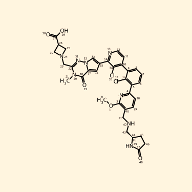 COc1nc(-c2cccc(-c3ccnc(-c4cc5c(=O)n(C)c(CN6CC(C(=O)O)C6)nn5c4)c3Cl)c2Cl)ccc1CNC[C@H]1CCC(=O)N1